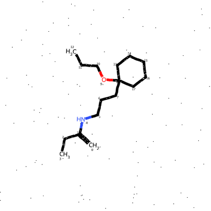 C=C(CC)NCCCC1(OCCC)CCCCC1